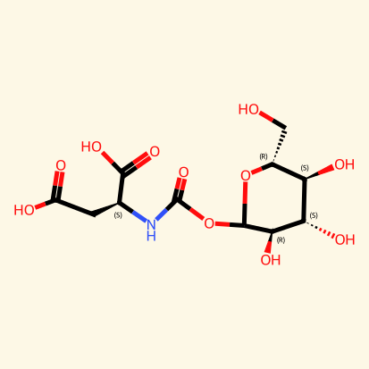 O=C(O)C[C@H](NC(=O)OC1O[C@H](CO)[C@@H](O)[C@H](O)[C@H]1O)C(=O)O